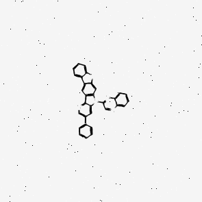 c1ccc(-c2cnc3c4cc5c(cc4n(-c4cnc6ccccc6n4)c3c2)sc2ccccc25)cc1